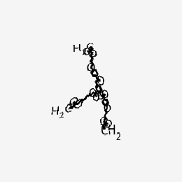 C=CC(=O)OCCCCOC(=O)c1cc(CC(=O)c2ccc(OCCCCOC(=O)C=C)cc2)ccc1OC(=O)c1ccc(OCCCCOC(=O)C=C)cc1